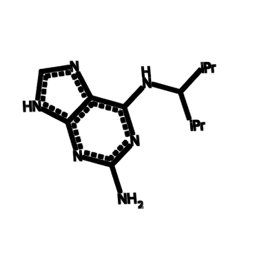 CC(C)C(Nc1nc(N)nc2[nH]cnc12)C(C)C